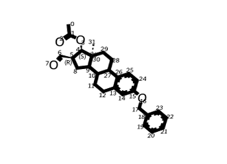 CC(=O)O[C@H]1[C@H](C=O)CC2C3CCc4cc(OCc5ccccc5)ccc4C3CC[C@@]21C